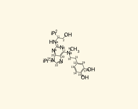 CC(C)C(CO)Nc1nc(N(C)CCc2ccc(O)c(O)c2)c2ncn(C(C)C)c2n1